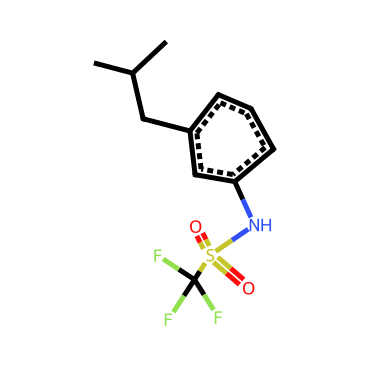 CC(C)Cc1cccc(NS(=O)(=O)C(F)(F)F)c1